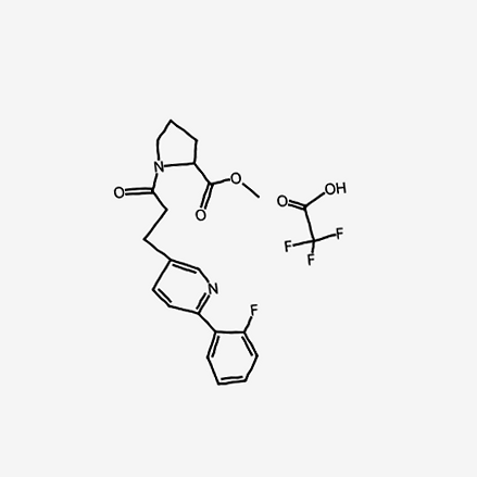 COC(=O)C1CCCN1C(=O)CCc1ccc(-c2ccccc2F)nc1.O=C(O)C(F)(F)F